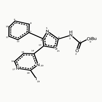 CC(C)COC(=O)Nc1nc(-c2ccccc2)c(-c2ccnc(I)n2)s1